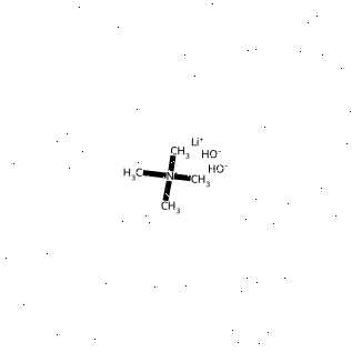 C[N+](C)(C)C.[Li+].[OH-].[OH-]